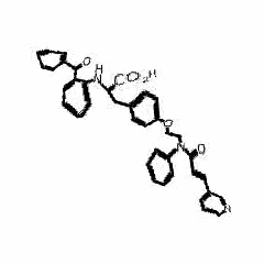 O=C(c1ccccc1)c1ccccc1NC(Cc1ccc(OCCN(C(=O)C=Cc2cccnc2)c2ccccc2)cc1)C(=O)O